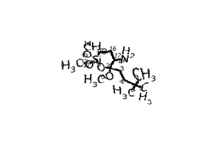 COC1(CCC(C)(C)C)O[Si](OC)(OC)CCC1N